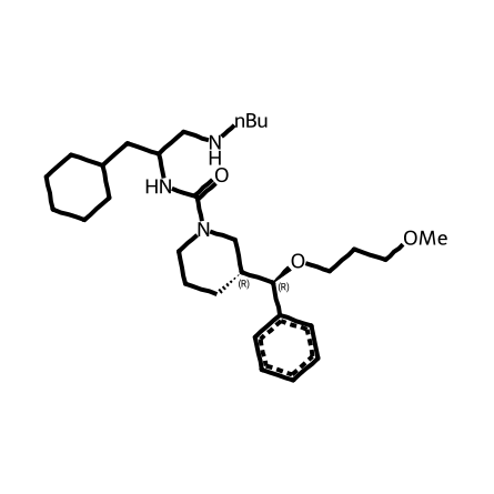 CCCCNCC(CC1CCCCC1)NC(=O)N1CCC[C@@H]([C@@H](OCCCOC)c2ccccc2)C1